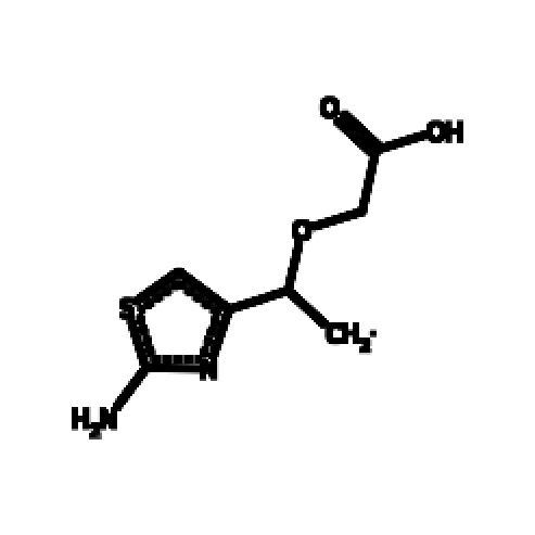 [CH2]C(OCC(=O)O)c1csc(N)n1